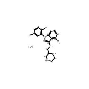 Cl.Fc1ccc(F)c(-n2nc(OCC3CNCCO3)c3c(F)cccc32)c1